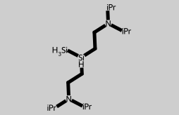 CC(C)N(CC[SiH]([SiH3])CCN(C(C)C)C(C)C)C(C)C